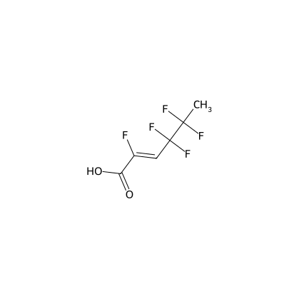 CC(F)(F)C(F)(F)C=C(F)C(=O)O